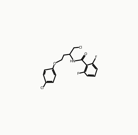 O=C(NC(CCl)CCOc1ccc(Cl)cc1)c1c(F)cccc1F